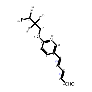 O=C/C=C/C=C/c1ccc(OCC(F)(F)C(F)F)nc1